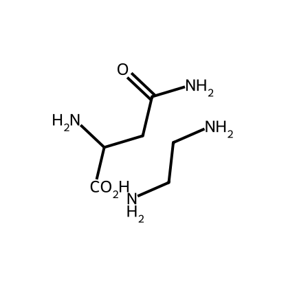 NC(=O)CC(N)C(=O)O.NCCN